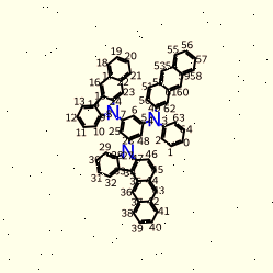 c1ccc(N(c2cc(-n3c4ccccc4c4cc5ccccc5cc43)cc(-n3c4ccccc4c4c5cc6ccccc6cc5ccc43)c2)c2ccc3cc4ccccc4cc3c2)cc1